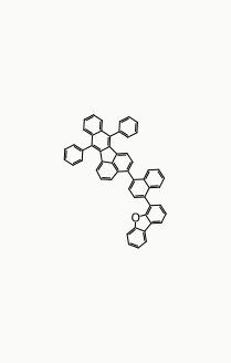 c1ccc(-c2c3c(c(-c4ccccc4)c4ccccc24)-c2ccc(-c4ccc(-c5cccc6c5oc5ccccc56)c5ccccc45)c4cccc-3c24)cc1